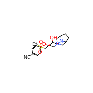 CCS(=O)(=O)CCCN1CC2CCC(C1)N2CC(O)COc1ccc(C#N)cc1